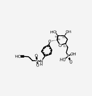 C#CCCS(=O)(=O)Nc1ccc(O[C@H]2O[C@H](CCP(=O)(O)O)C[C@H](O)[C@@H]2O)cc1